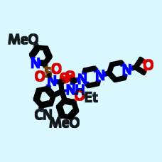 CCOc1ccc(OC)cc1[C@]1(NC(=O)N2CCN(C3CCN(C4COC4)CC3)CC2)C(=O)N(S(=O)(=O)c2ccc(OC)cn2)c2ccc(C#N)cc21